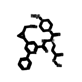 CCOC(=O)N1CCN(C(=O)[C@H](CCC(=O)OC(C)(C)C)NC(=O)c2cc(C3CC3COC)cc(-c3ccccc3)n2)CC1